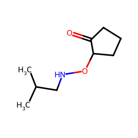 CC(C)CNOC1CCCC1=O